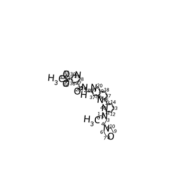 CCN(CCN1CCOCC1)c1cccc(-c2ccc3cnc(CNC(=O)c4cncc(S(C)(=O)=O)c4)cc3n2)n1